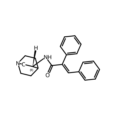 O=C(N[C@H]1CN2CCC1CC2)C(=Cc1ccccc1)c1ccccc1